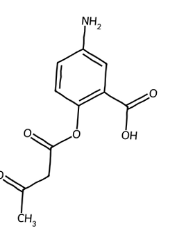 CC(=O)CC(=O)Oc1ccc(N)cc1C(=O)O